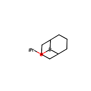 CC(C)OB1C2CCCC1CCC2